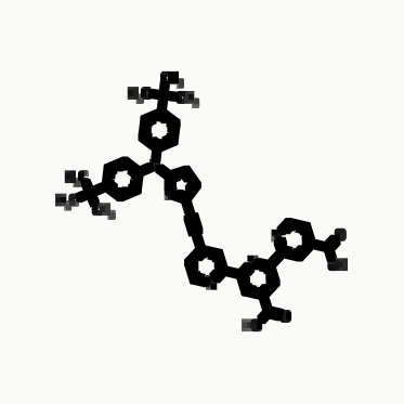 CC(C)(C)c1ccc(N(c2ccc(C(C)(C)C)cc2)c2ccc(C#Cc3ccnc(-c4cc(C(=O)O)cc(-c5cc(C(=O)O)ccn5)n4)c3)s2)cc1